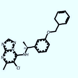 Cc1nc2ncnn2c(N[C@@H](C)c2cccc(OCC3C=CC=CC3)c2)c1Cl